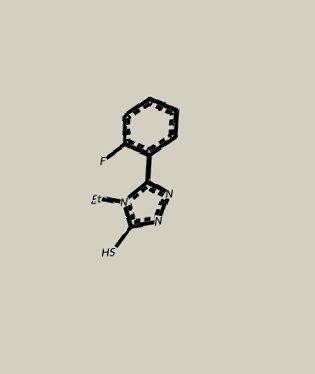 CCn1c(S)nnc1-c1ccccc1F